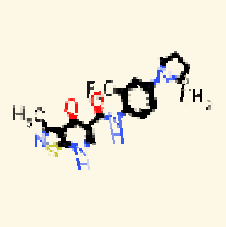 Cc1nsc2[nH]cc(C(=O)Nc3ccc(N4CCC[C@@H]4C)cc3C(F)(F)F)c(=O)c12